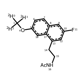 [2H]C([2H])([2H])Oc1ccc2cc(F)cc(CCNC(C)=O)c2c1